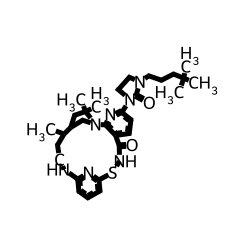 CC1CCNc2cccc(n2)SNC(=O)c2ccc(N3CCN(CCCC(C)(C)C)C3=O)nc2N2CC1CC2(C)C